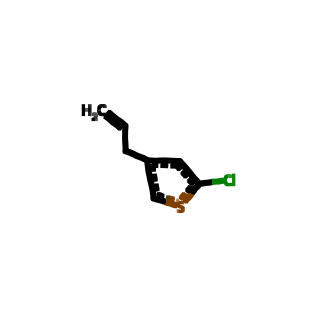 C=CCc1csc(Cl)c1